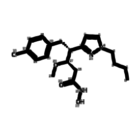 CCCCn1ccc([C@@H](Cc2ccc(Cl)cc2)[C@@H](CC(=O)NO)OC)n1